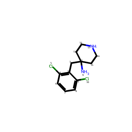 NC1(Cc2c(Cl)cccc2Cl)CCNCC1